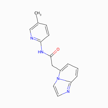 Cc1ccc(NC(=O)Cc2cccc3nccn23)nc1